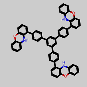 c1ccc2c(c1)Nc1c(cccc1-c1ccc(-c3cc(-c4ccc(-c5cccc6c5Nc5ccccc5O6)cc4)cc(-c4ccc(-c5cccc6c5Nc5ccccc5O6)cc4)c3)cc1)O2